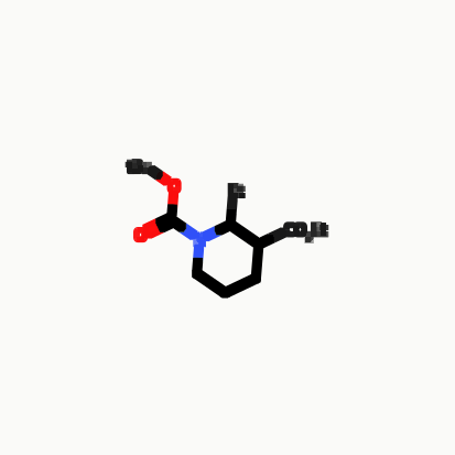 CCOC(=O)C1CCCN(C(=O)OC(C)(C)C)C1CC